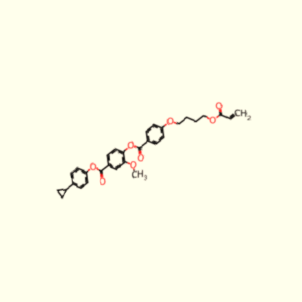 C=CC(=O)OCCCCOc1ccc(C(=O)Oc2ccc(C(=O)Oc3ccc(C4CC4)cc3)cc2OC)cc1